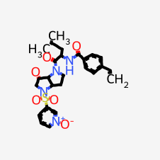 C=Cc1ccc(C(=O)NC(CC(C)C)C(=O)N2CCC3C2C(=O)CN3S(=O)(=O)c2ccc[n+]([O-])c2)cc1